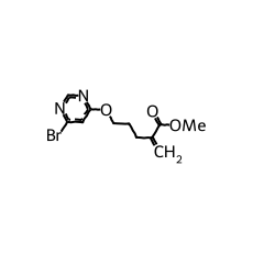 C=C(CCCOc1cc(Br)ncn1)C(=O)OC